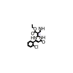 CCOC(=O)/C(C=N)=C1/NC(=O)C=C(c2ccccc2Cl)N1